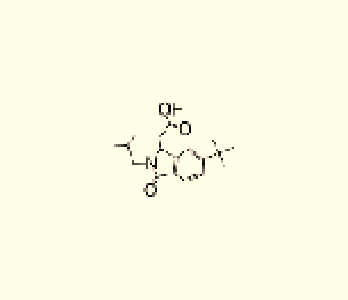 CC(C)CN1C(=O)c2ccc(C(C)(C)C)cc2C1CC(=O)O